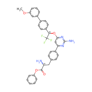 COc1cccc(-c2ccc([C@@H](Oc3cc(-c4ccc(C[C@H](N)C(=O)Oc5ccccc5)cc4)nc(N)n3)C(F)(F)F)cc2)c1